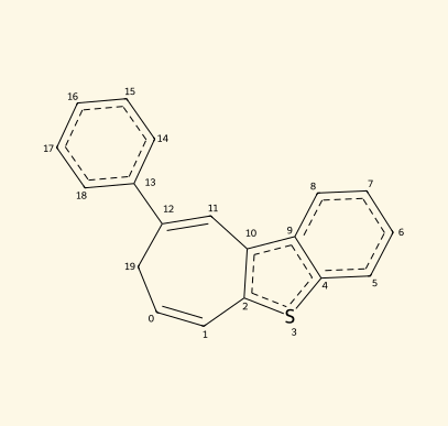 C1=Cc2sc3ccccc3c2C=C(c2ccccc2)C1